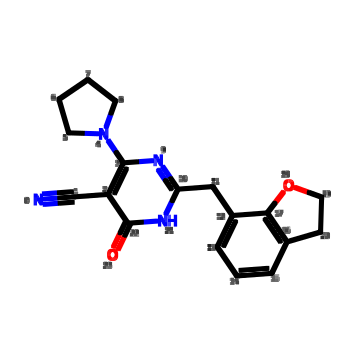 N#Cc1c(N2CCCC2)nc(Cc2cccc3c2OCC3)[nH]c1=O